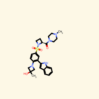 CN1CCN(C(=O)[C@@H]2CCN2S(=O)(=O)c2ccc(N3CC(C)(O)C3)c(-c3cc4ccccc4[nH]3)c2)CC1